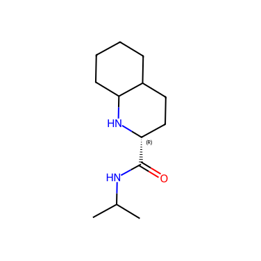 CC(C)NC(=O)[C@H]1CCC2CCCCC2N1